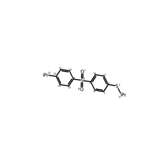 CC(C)Sc1ccc(S(=O)(=O)c2ccc(C(C)C)cc2)cc1